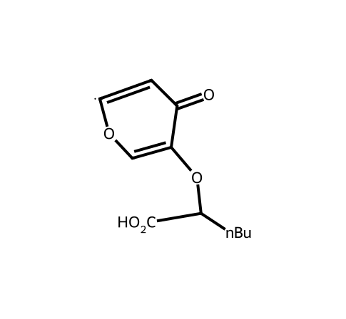 CCCCC(Oc1co[c]cc1=O)C(=O)O